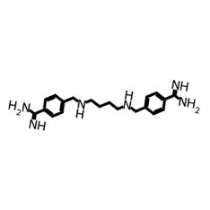 N=C(N)c1ccc(CNCCCCNCc2ccc(C(=N)N)cc2)cc1